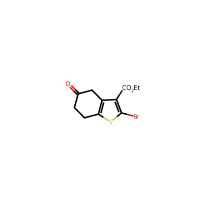 CCOC(=O)c1c(Br)sc2c1CC(=O)CC2